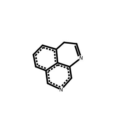 C1=Nc2cncc3cccc(c23)C1